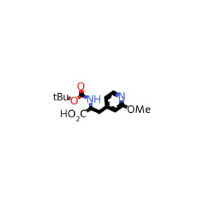 COc1cc(CC(NC(=O)OC(C)(C)C)C(=O)O)ccn1